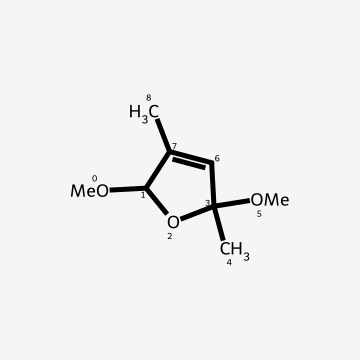 COC1OC(C)(OC)C=C1C